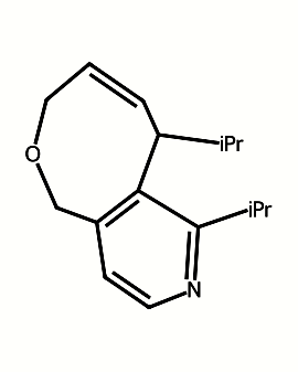 CC(C)c1nccc2c1C(C(C)C)/C=C\COC2